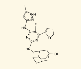 Cc1cc(Nc2nc(NC3C4CC5CC3CC(O)(C5)C4)nc(C3=CCCO3)c2F)n[nH]1